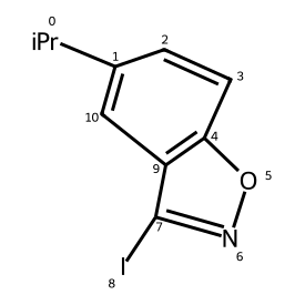 CC(C)c1ccc2onc(I)c2c1